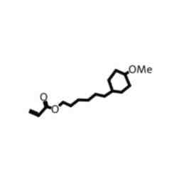 C=CC(=O)OCCCCCCC1CCC(OC)CC1